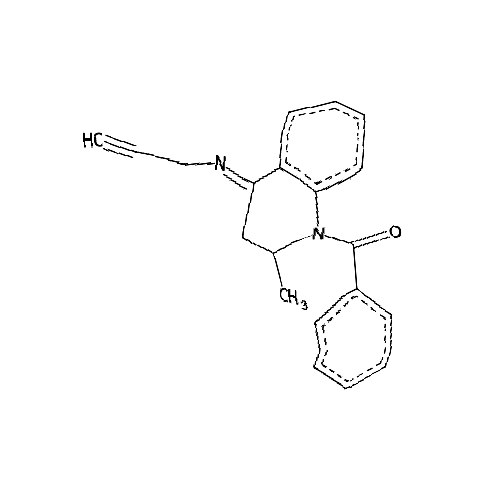 C#CCN=C1CC(C)N(C(=O)c2ccccc2)c2ccccc21